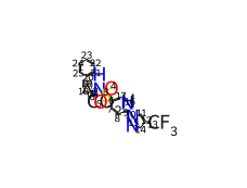 O=C(O)[C@]1(NS(=O)(=O)c2ccc(-n3cc(C(F)(F)F)cn3)nc2)C[C@@H]1c1ccccc1